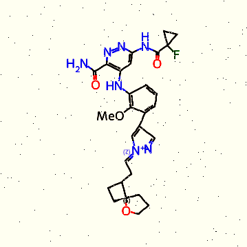 COc1c(Nc2cc(NC(=O)C3(F)CC3)nnc2C(N)=O)cccc1C1=C/[N+](=C/CC2CC[C@]23CCCO3)N=C1